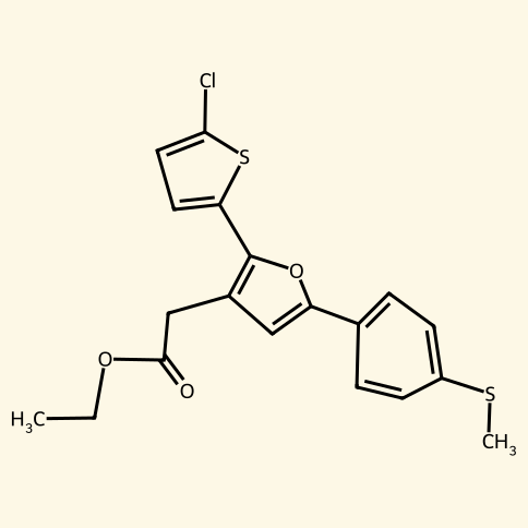 CCOC(=O)Cc1cc(-c2ccc(SC)cc2)oc1-c1ccc(Cl)s1